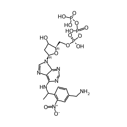 CC(Nc1ncnc2c1ncn2[C@H]1CC(O)[C@@H](COP(=O)(O)OP(=O)(O)OP(=O)(O)O)O1)c1ccc(CN)cc1[N+](=O)[O-]